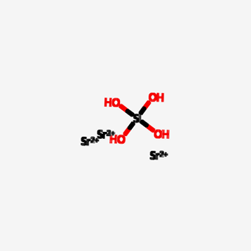 O[Si](O)(O)O.[Sr+2].[Sr+2].[Sr+2]